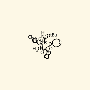 CN(C[C@@H](Cc1ccc(Cl)cc1)N(C)C(=O)[C@@H](N)COC(C)(C)C)C(=O)[C@@H](CC(=O)OC1CCCCCCCCC1)[C@H]1CCc2ccccc21